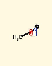 CCCCCCCC(=O)OCCNc1ccccc1